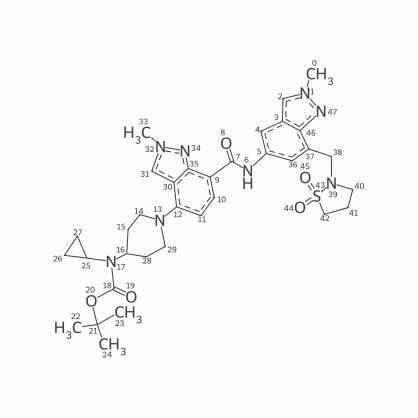 Cn1cc2cc(NC(=O)c3ccc(N4CCC(N(C(=O)OC(C)(C)C)C5CC5)CC4)c4cn(C)nc34)cc(CN3CCCS3(=O)=O)c2n1